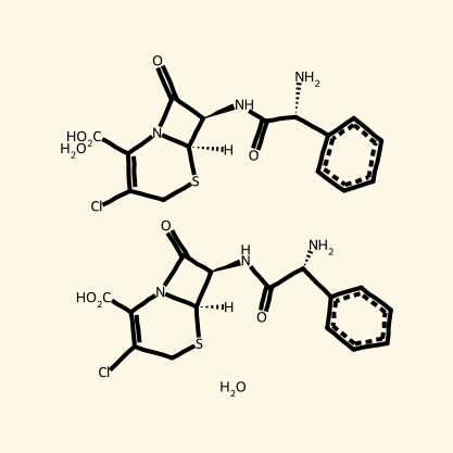 N[C@@H](C(=O)N[C@@H]1C(=O)N2C(C(=O)O)=C(Cl)CS[C@H]12)c1ccccc1.N[C@@H](C(=O)N[C@@H]1C(=O)N2C(C(=O)O)=C(Cl)CS[C@H]12)c1ccccc1.O.O